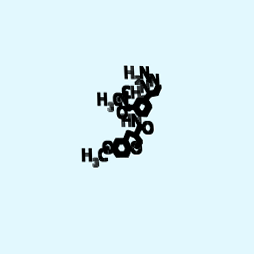 COc1ccc2c(c1)CC(C(=O)Nc1ccc(-c3ccnc(N)n3)cc1C(=O)N(C)C)CO2